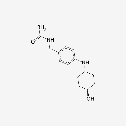 BC(=O)NCc1ccc(N[C@H]2CC[C@H](O)CC2)cc1